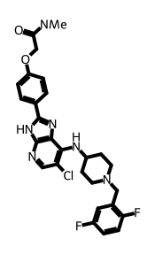 CNC(=O)COc1ccc(-c2nc3c(NC4CCN(Cc5cc(F)ccc5F)CC4)c(Cl)cnc3[nH]2)cc1